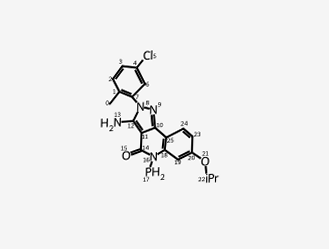 Cc1ccc(Cl)cc1-n1nc2c(c1N)c(=O)n(P)c1cc(OC(C)C)ccc21